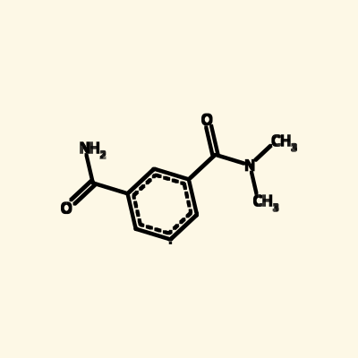 CN(C)C(=O)c1c[c]cc(C(N)=O)c1